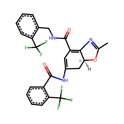 CC1=NC2=C(C(=O)NCc3ccccc3C(F)(F)F)C=C(NC(=O)c3ccccc3C(F)(F)F)C[C@@H]2O1